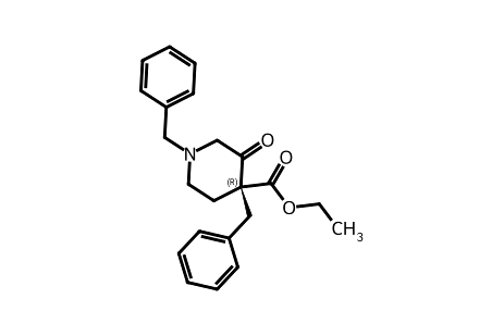 CCOC(=O)[C@]1(Cc2ccccc2)CCN(Cc2ccccc2)CC1=O